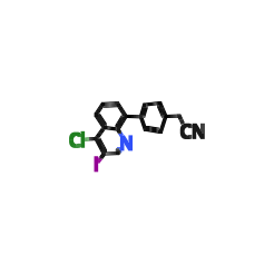 N#CCc1ccc(-c2cccc3c(Cl)c(I)cnc23)cc1